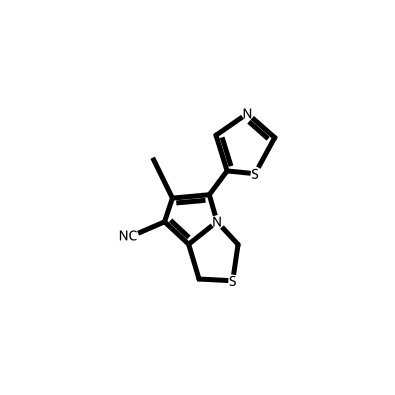 Cc1c(C#N)c2n(c1-c1cncs1)CSC2